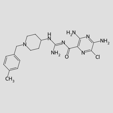 Cc1ccc(CN2CCC(N/C(N)=N/C(=O)c3nc(Cl)c(N)nc3N)CC2)cc1